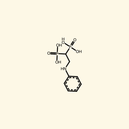 O=P(O)(O)C(CNc1ccccc1)P(=O)(O)O